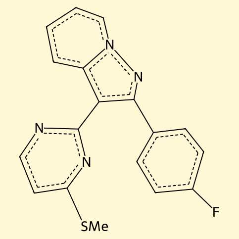 CSc1ccnc(-c2c(-c3ccc(F)cc3)nn3ccccc23)n1